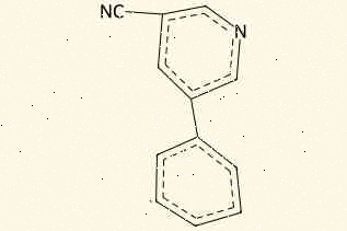 N#Cc1cncc(-c2c[c]ccc2)c1